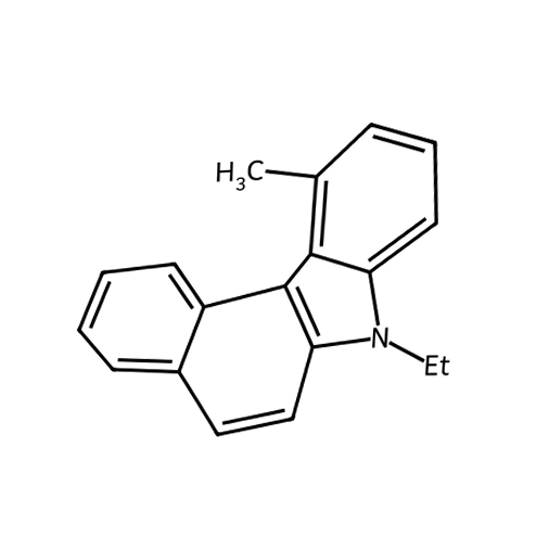 CCn1c2cccc(C)c2c2c3ccccc3ccc21